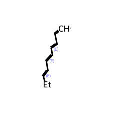 [CH]=C/C=C/C=C/C=C/CC